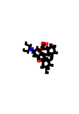 CC[N+](CC)=c1ccc2c(-c3ccccc3C(=O)O)c3c(C)cc(C)cc3oc-2c1